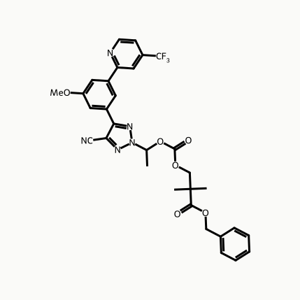 COc1cc(-c2cc(C(F)(F)F)ccn2)cc(-c2nn(C(C)OC(=O)OCC(C)(C)C(=O)OCc3ccccc3)nc2C#N)c1